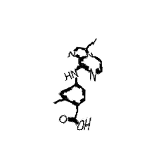 Cc1cc(Nc2nccn3c(I)cnc23)ccc1C(=O)O